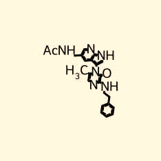 CC(=O)NCc1cnc2[nH]cc(-n3c(C)cnc(NCCc4ccccc4)c3=O)c2c1